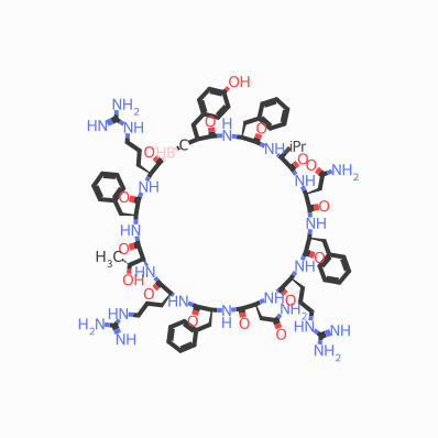 CC(C)C1NC(=O)[C@H](Cc2ccccc2)NC(=O)C(Cc2ccc(O)cc2)CBC(=O)[C@H](CCCNC(=N)N)NC(=O)[C@H](Cc2ccccc2)NC(=O)[C@H]([C@@H](C)O)NC(=O)[C@H](CCCNC(=N)N)NC(=O)[C@H](Cc2ccccc2)NC(=O)[C@H](CC(N)=O)NC(=O)[C@H](CCCNC(=N)N)NC(=O)[C@H](Cc2ccccc2)NC(=O)[C@H](CC(N)=O)NC1=O